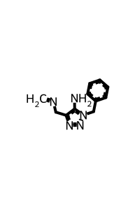 C=NCc1nnn(Cc2ccccc2)c1N